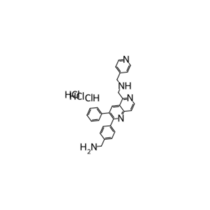 Cl.Cl.Cl.NCc1ccc(-c2nc3ccnc(CNCc4ccncc4)c3cc2-c2ccccc2)cc1